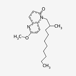 CCCCCCCCC(C)Cn1c(=O)ccc2nc(OC)ccc21